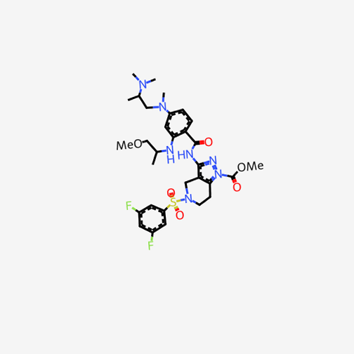 COCC(C)Nc1cc(N(C)CC(C)N(C)C)ccc1C(=O)Nc1nn(C(=O)OC)c2c1CN(S(=O)(=O)c1cc(F)cc(F)c1)CC2